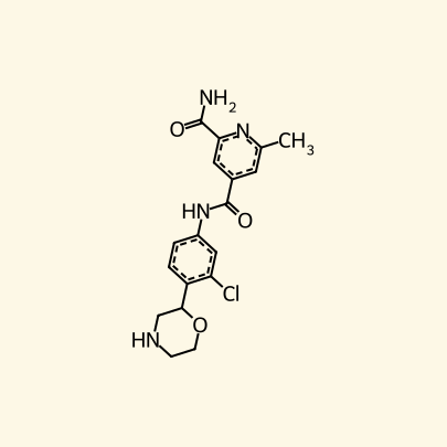 Cc1cc(C(=O)Nc2ccc(C3CNCCO3)c(Cl)c2)cc(C(N)=O)n1